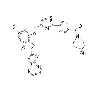 COc1cc(OCc2csc(-c3ccc(C(=O)N4CCC(O)CC4)cc3)n2)c2cc(-c3cn4nc(C)cnc4n3)oc2c1